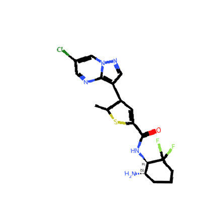 CC1SC(C(=O)N[C@@H]2[C@@H](N)CCCC2(F)F)=CC1c1cnn2cc(Cl)cnc12